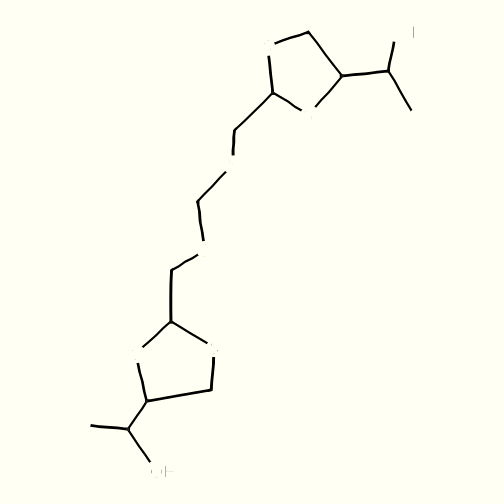 CC(O)C1CSC(CSCSCC2SCC(C(C)O)S2)S1